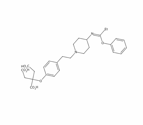 CCC(=NC1CCN(CCc2ccc(OC(CC(=O)O)(CC(=O)O)C(=O)O)cc2)CC1)Oc1ccccc1